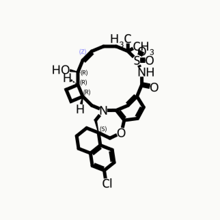 CC1(C)CC/C=C\[C@H](O)[C@@H]2CC[C@H]2CN2C[C@@]3(CCCc4cc(Cl)ccc43)COc3ccc(cc32)C(=O)NS1(=O)=O